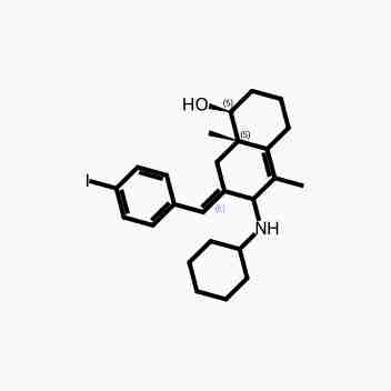 CC1=C2CCC[C@H](O)[C@@]2(C)C/C(=C\c2ccc(I)cc2)C1NC1CCCCC1